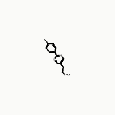 CCCCCCCCCCCc1cnc(-c2ccc(Br)cc2)nc1